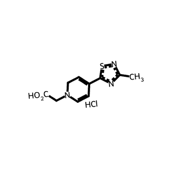 Cc1nsc(C2=CCN(CC(=O)O)C=C2)n1.Cl